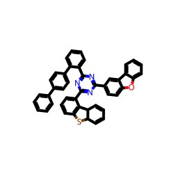 C1=CC2Sc3cccc(-c4nc(-c5ccc6oc7ccccc7c6c5)nc(-c5ccccc5-c5ccc(-c6ccccc6)cc5)n4)c3C2C=C1